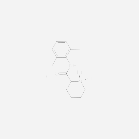 CC[N+]1(CC)CCCCC1C(=O)Nc1c(C)cccc1C.[Cl-]